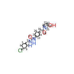 O=C(NCc1ccc(Cl)cc1)Nc1ccc(CC(=O)N2CC3CC3(O)C2)cc1